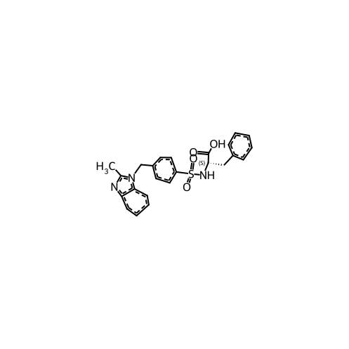 Cc1nc2ccccc2n1Cc1ccc(S(=O)(=O)N[C@@H](Cc2ccccc2)C(=O)O)cc1